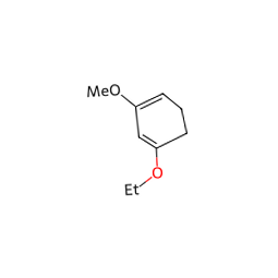 CCOC1=CC(OC)=CCC1